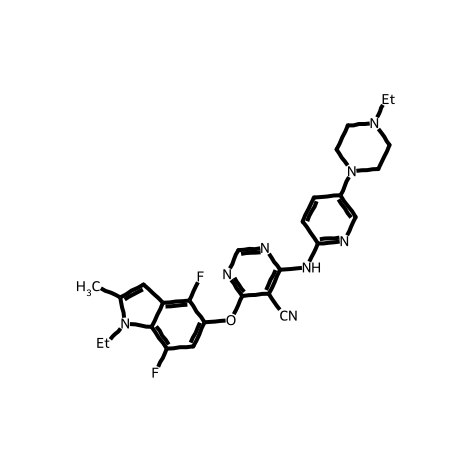 CCN1CCN(c2ccc(Nc3ncnc(Oc4cc(F)c5c(cc(C)n5CC)c4F)c3C#N)nc2)CC1